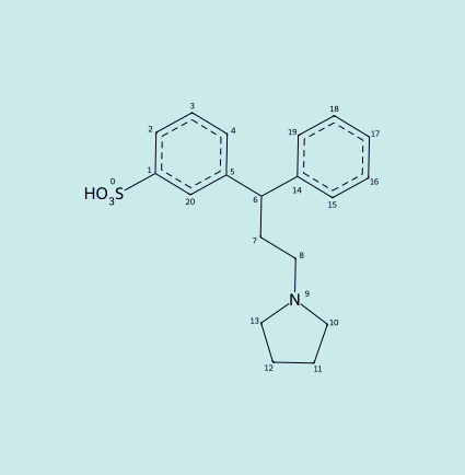 O=S(=O)(O)c1cccc(C(CCN2CCCC2)c2ccccc2)c1